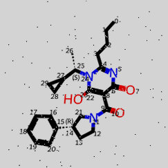 CCCCc1nc(=O)c(C(=O)N2CC[C@H](c3ccccc3)C2)c(O)n1[C@@H](C)C1CC1